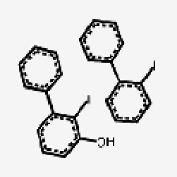 Ic1ccccc1-c1ccccc1.Oc1cccc(-c2ccccc2)c1I